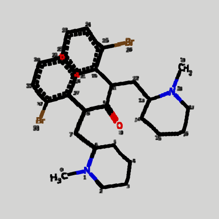 CN1CCCCC1CC(C(=O)C(CC1CCCCN1C)c1ccccc1Br)c1ccccc1Br